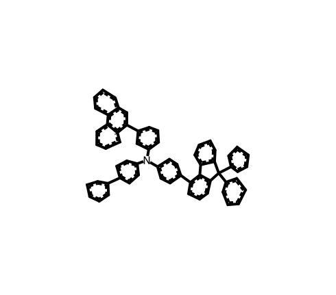 c1ccc(-c2ccc(N(c3ccc(-c4cccc5c4-c4ccccc4C5(c4ccccc4)c4ccccc4)cc3)c3cccc(-c4cc5ccccc5c5ccccc45)c3)cc2)cc1